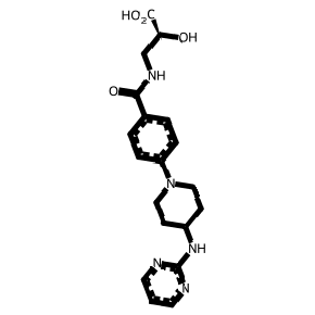 O=C(NC[C@H](O)C(=O)O)c1ccc(N2CCC(Nc3ncccn3)CC2)cc1